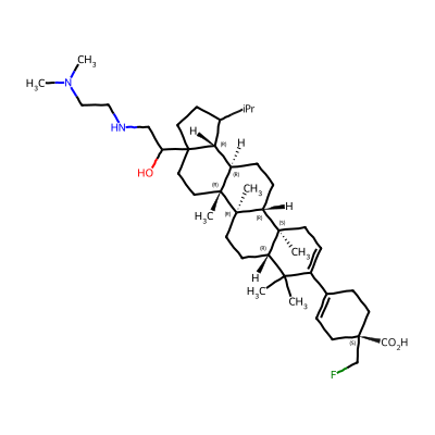 CC(C)C1CCC2(C(O)CNCCN(C)C)CC[C@]3(C)[C@H](CC[C@@H]4[C@@]5(C)CC=C(C6=CC[C@](CF)(C(=O)O)CC6)C(C)(C)[C@@H]5CC[C@]43C)[C@@H]12